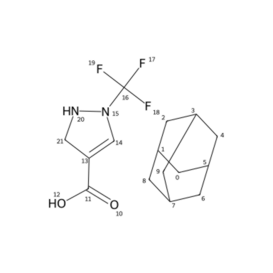 C1C2CC3CC1CC(C2)C3.O=C(O)C1=CN(C(F)(F)F)NC1